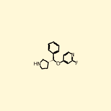 Fc1cc(OC(c2ccccc2)[C@@H]2CCNC2)ccn1